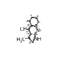 Cc1n[nH]c2nc3ccccc3c(Cl)c12